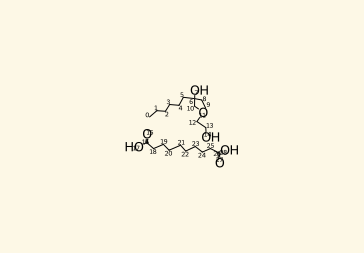 CCCCCCC(O)(CC)COCCO.O=C(O)CCCCCCCCC(=O)O